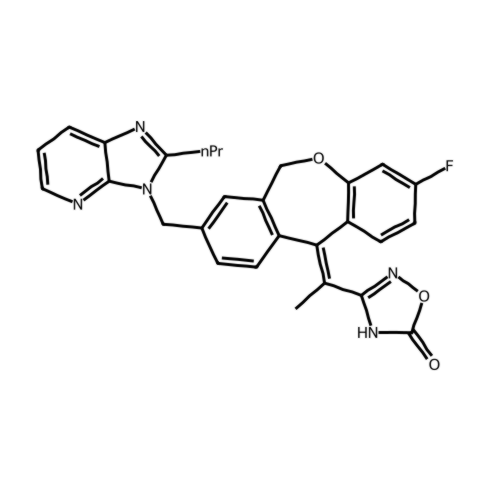 CCCc1nc2cccnc2n1Cc1ccc2c(c1)COc1cc(F)ccc1C2=C(C)c1noc(=O)[nH]1